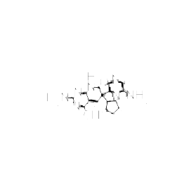 CC1=NC(N)N=C2NC(=O)C(c3cncc(N)n3)(C3CCCC3)C=C12